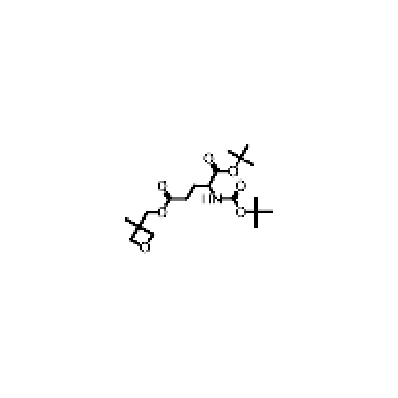 CC1(COC(=O)CC[C@H](NC(=O)OC(C)(C)C)C(=O)OC(C)(C)C)COC1